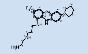 NCCNCCCNc1cc(C(F)(F)F)cc2c1Nc1ccc(N3CCCCC3)cc1S2